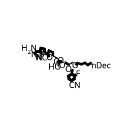 CCCCCCCCCCCCCCCOC[C@H](COP(=O)(O)OC[C@@H]1CC[C@](C#N)(c2ccc3c(N)ncnn23)O1)OCc1ccc(C#N)cc1F